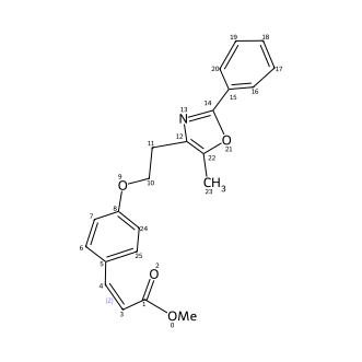 COC(=O)/C=C\c1ccc(OCCc2nc(-c3ccccc3)oc2C)cc1